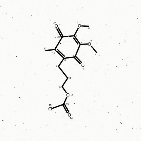 COC1=C(OC)C(=O)C(CCCOC(=O)Cl)=C(C)C1=O